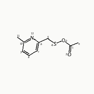 CC(=O)OSCc1cccc(C)n1